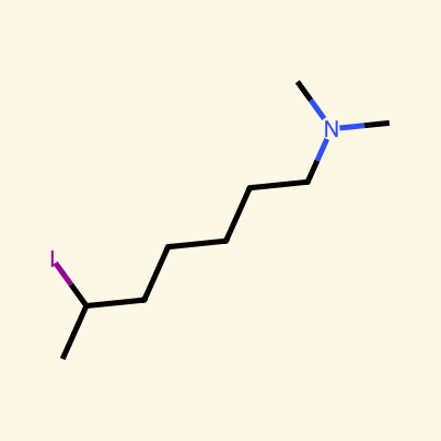 CC(I)CCCCCN(C)C